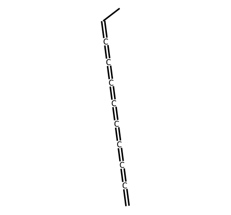 C=C=C=C=C=C=C=C=C=CC